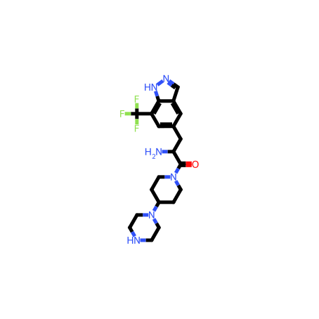 NC(Cc1cc(C(F)(F)F)c2[nH]ncc2c1)C(=O)N1CCC(N2CCNCC2)CC1